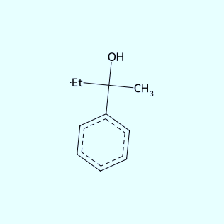 C[CH]C(C)(O)c1ccccc1